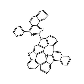 c1ccc(-c2nc(-n3c4cccc5c6cc7ccccc7c7c8ccccc8n(c67)c6c7c(cc3c6c54)sc3ccccc37)nc3c2ccc2ccccc23)cc1